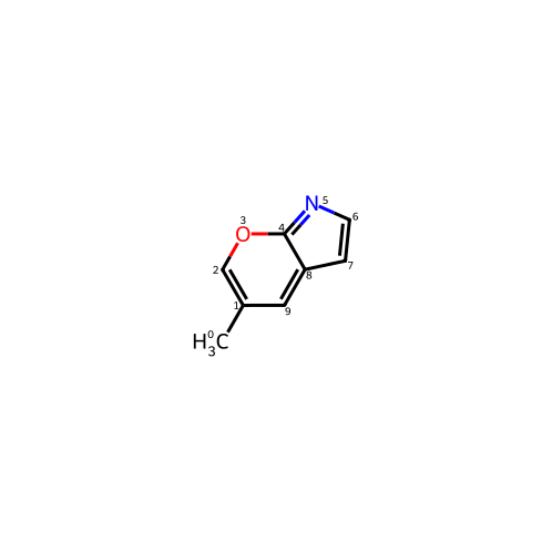 Cc1coc2nccc-2c1